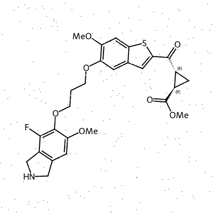 COC(=O)[C@@H]1C[C@H]1C(=O)c1cc2cc(OCCCOc3c(OC)cc4c(c3F)CNC4)c(OC)cc2s1